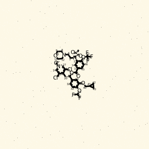 CS(=O)(=O)N(CCN1CCOCC1)c1cc(C(=O)O[C@@H](Cc2c(Cl)c[n+]([O-])cc2Cl)c2ccc(OC(F)F)c(OCC3CC3)c2)ccc1OC(F)(F)F